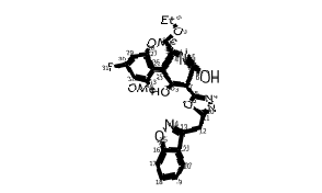 CCOCc1nc(O)c(-c2nnc(Cc3noc4ccccc34)o2)c(O)c1-c1c(OC)cc(F)cc1OC